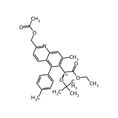 CCOC(=O)[C@@H](OC(C)(C)C)c1c(C)cc2nc(COC(C)=O)ccc2c1-c1ccc(C)cc1